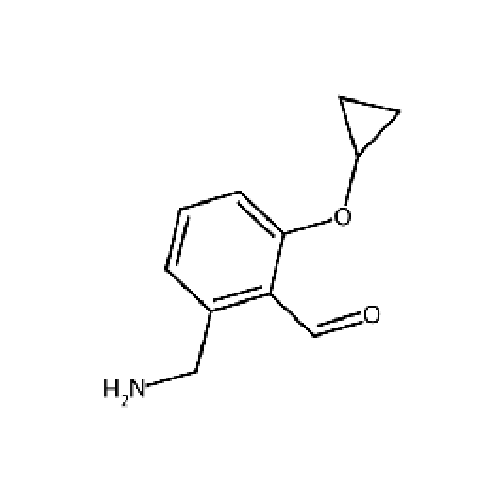 NCc1cccc(OC2CC2)c1C=O